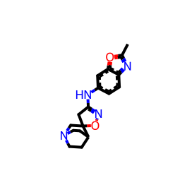 Cc1nc2ccc(NC3=NOC4(C3)CN3CCC4CC3)cc2o1